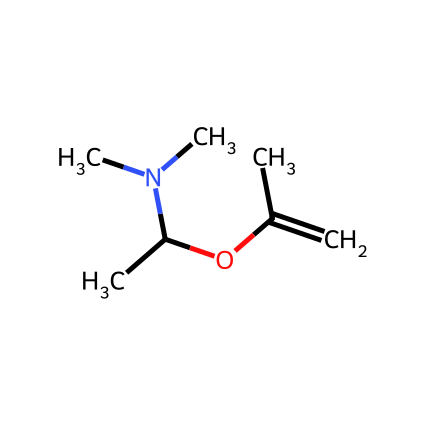 C=C(C)OC(C)N(C)C